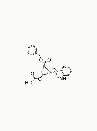 CC(=O)OC1C[C@@H](C[C@@H]2CNc3ccccc32)N(C(=O)OCc2ccccc2)C1